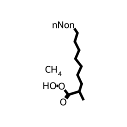 C.CCCCCCCCCCCCCCCCC(C)C(=O)OO